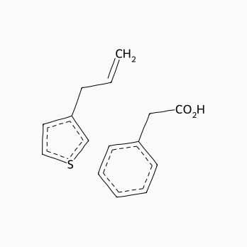 C=CCc1ccsc1.O=C(O)Cc1ccccc1